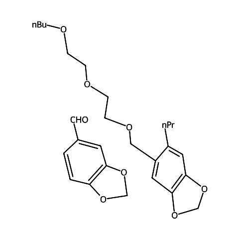 CCCCOCCOCCOCc1cc2c(cc1CCC)OCO2.O=Cc1ccc2c(c1)OCO2